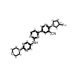 N#Cc1cc(-c2ccnc(Nc3cnc(N4CCOCC4)nc3)n2)cnc1N1CCC(F)C1